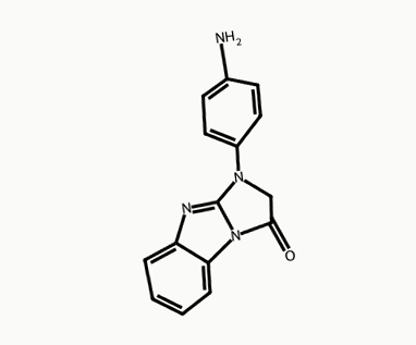 Nc1ccc(N2CC(=O)n3c2nc2ccccc23)cc1